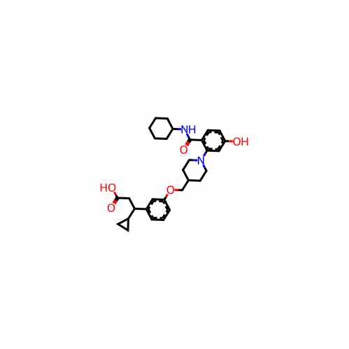 O=C(O)CC(c1cccc(OCC2CCN(c3cc(O)ccc3C(=O)NC3CCCCC3)CC2)c1)C1CC1